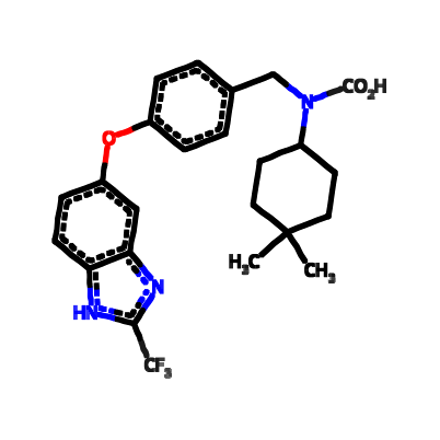 CC1(C)CCC(N(Cc2ccc(Oc3ccc4[nH]c(C(F)(F)F)nc4c3)cc2)C(=O)O)CC1